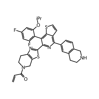 C=CC(=O)N1CCc2nc(-c3nc(-c4ccc5c(c4)CCNC5)c4ccsc4c3-c3c(F)cc(F)cc3OC(C)C)sc2C1